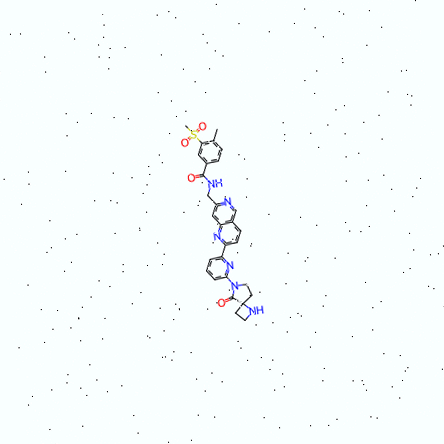 Cc1ccc(C(=O)NCc2cc3nc(-c4cccc(N5CCC6(CCN6)C5=O)n4)ccc3cn2)cc1S(C)(=O)=O